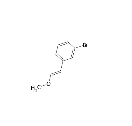 COC=Cc1cccc(Br)c1